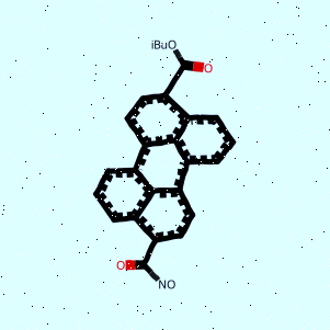 CC(C)COC(=O)c1ccc2c3cccc4c(C(=O)N=O)ccc(c5cccc1c52)c43